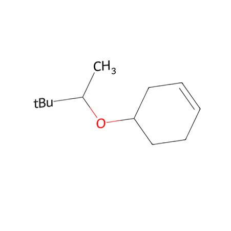 CC(OC1CC=CCC1)C(C)(C)C